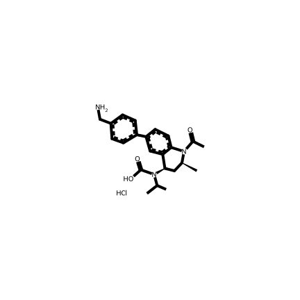 CC(=O)N1c2ccc(-c3ccc(CN)cc3)cc2[C@H](N(C(=O)O)C(C)C)C[C@@H]1C.Cl